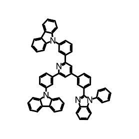 c1ccc(-n2c(-c3cccc(-c4cc(-c5cccc(-n6c7ccccc7c7ccccc76)c5)nc(-c5cccc(-n6c7ccccc7c7ccccc76)c5)c4)c3)nc3ccccc32)cc1